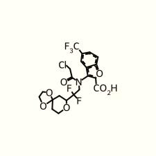 O=C(O)c1oc2ccc(C(F)(F)F)cc2c1N(CC(F)(F)C1CC2(CCO1)OCCO2)C(=O)CCl